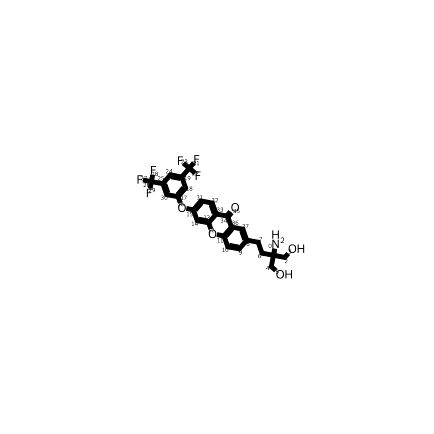 NC(CO)(CO)CCc1ccc2oc3cc(Oc4cc(C(F)(F)F)cc(C(F)(F)F)c4)ccc3c(=O)c2c1